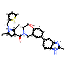 Cc1nc2cc(-c3ccc4c(c3)CN(C(=O)c3cc(C)n(Cc5cccs5)c3C)CCO4)ccc2[nH]1